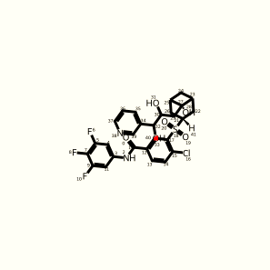 O=C(Nc1cc(F)c(F)c(F)c1)c1ccc(Cl)c(S(=O)(=O)[C@H]2CC3CC(C2)[C@]3(O)CC(O)C(O)c2cccnc2)c1